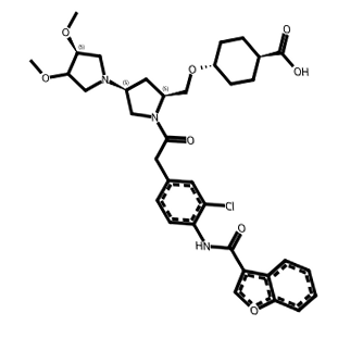 COC1CN([C@H]2C[C@@H](CO[C@H]3CC[C@H](C(=O)O)CC3)N(C(=O)Cc3ccc(NC(=O)c4coc5ccccc45)c(Cl)c3)C2)C[C@@H]1OC